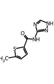 Cc1ccc(C(=O)Nc2nc[nH]n2)s1